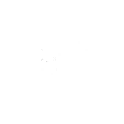 Cc1ccc(OCCC(=O)NC(CN2CCCC2)[C@H](O)C2=CC=C3OCCO[C@@H]3C2)cc1